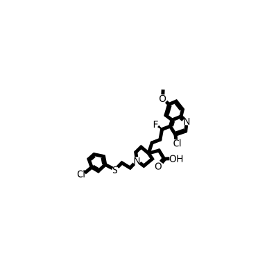 COc1ccc2ncc(Cl)c([C@H](F)CCC3(CC(=O)O)CCN(CCSc4cccc(Cl)c4)CC3)c2c1